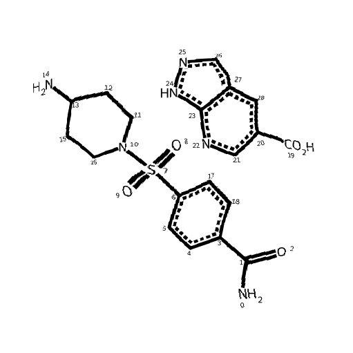 NC(=O)c1ccc(S(=O)(=O)N2CCC(N)CC2)cc1.O=C(O)c1cnc2[nH]ncc2c1